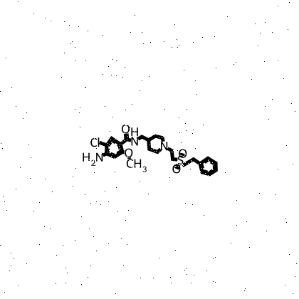 COc1cc(N)c(Cl)cc1C(=O)NCC1CCN(CCS(=O)(=O)CCc2ccccc2)CC1